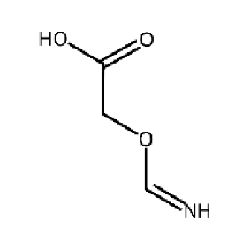 N=COCC(=O)O